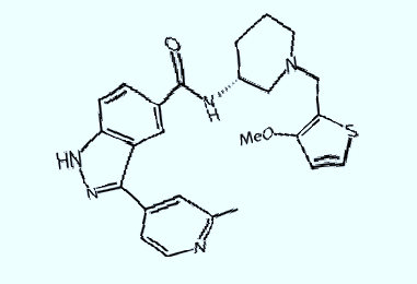 COc1ccsc1CN1CCC[C@@H](NC(=O)c2ccc3[nH]nc(-c4ccnc(C)c4)c3c2)C1